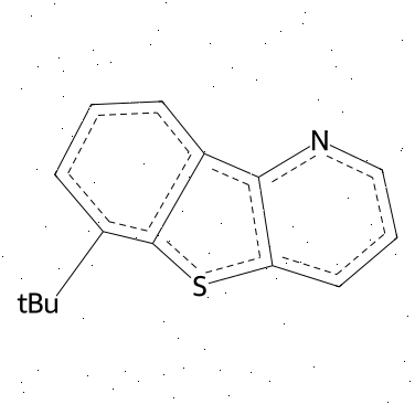 CC(C)(C)c1cccc2c1sc1cccnc12